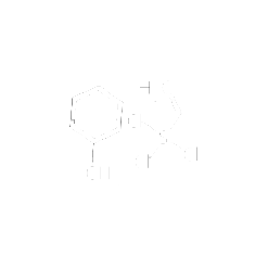 C=C[Si](Cl)(Cl)Cl.Cc1ccccc1